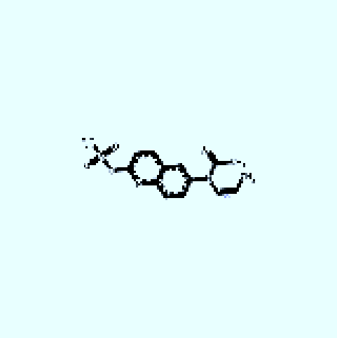 C=C(C)N(/C=C\C)c1ccc2nc(OS(=O)(=O)C(F)(F)F)ccc2c1